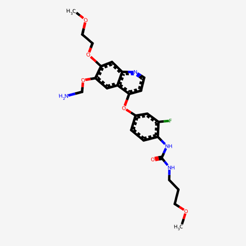 COCCCNC(=O)Nc1ccc(Oc2ccnc3cc(OCCOC)c(OCN)cc23)cc1F